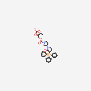 Cc1oc(=O)oc1COC(=O)N1CC[C@@H](N2CC[C@H]([PH](c3ccccc3)(c3ccccc3)c3ccccc3)C2=O)C1